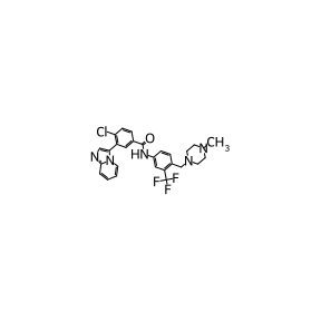 CN1CCN(Cc2ccc(NC(=O)c3ccc(Cl)c(-c4cnc5ccccn45)c3)cc2C(F)(F)F)CC1